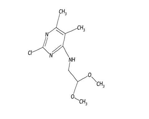 COC(CNc1nc(Cl)nc(C)c1C)OC